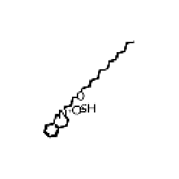 CCCCCCCCCCCCOCC(C[N+]1=Cc2ccccc2CC1)OS